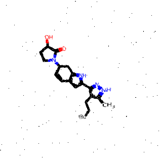 Cc1[nH]nc(-c2cc3c([nH]2)CC(N2CCC(O)C2=O)C=C3)c1CCC(C)(C)C